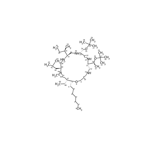 CCCCCCC[C@H]1OCCNC[C@@H]([C@H](C)OC(C)(C)C)NC[C@@H](COC(C)(C)C)NC[C@H]([C@H](C)CC)NC[C@H](CC(C)C)N(C)C[C@H]1CC